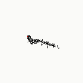 CC(C)OC(=O)CC[C@@H](C)C1CCC2C3CCC4C[C@@H](NCCNCCNCCNCCNCCN)CC[C@]4(C)C3C[C@H](O)[C@@]21C